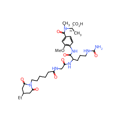 CCC1CC(=O)N(CCCCCC(=O)NCC(=O)NC(CCCNC(N)=O)C(=O)Nc2ccc(C(=O)N(C)[C@@H](C)C(=O)O)cc2OC)C(=O)C1